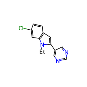 CCn1c(-c2cncnc2)cc2ccc(Cl)cc21